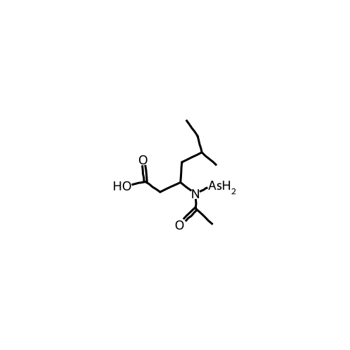 CCC(C)CC(CC(=O)O)N([AsH2])C(C)=O